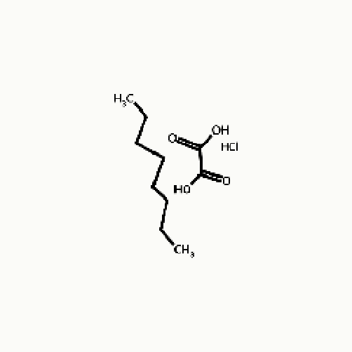 CCCCCCCC.Cl.O=C(O)C(=O)O